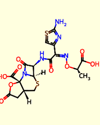 C[C@@H](O/N=C(\C(=O)N[C@@H]1C(=O)N2[C@@H]1SC[C@@H]1CC(=O)O[C@@]12C(=O)O)c1csc(N)n1)C(=O)O